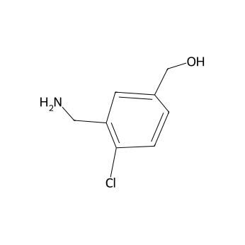 NCc1cc(CO)ccc1Cl